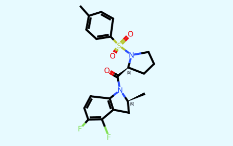 Cc1ccc(S(=O)(=O)N2CCC[C@H]2C(=O)N2c3ccc(F)c(F)c3C[C@@H]2C)cc1